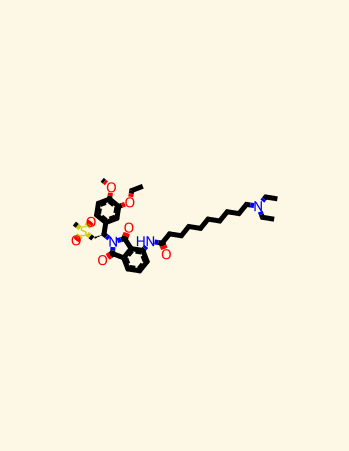 CCOc1cc([C@@H](CS(C)(=O)=O)N2C(=O)c3cccc(NC(=O)CCCCCCCCCN(CC)CC)c3C2=O)ccc1OC